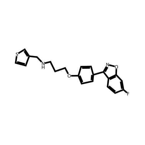 Fc1ccc2c(-c3ccc(OCCCNCc4ccsc4)cc3)noc2c1